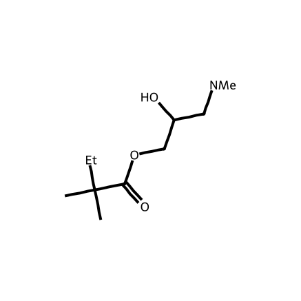 CCC(C)(C)C(=O)OCC(O)CNC